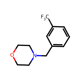 FC(F)(F)c1cccc(CN2CCOCC2)c1